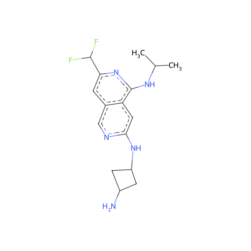 CC(C)Nc1nc(C(F)F)cc2cnc(NC3CC(N)C3)cc12